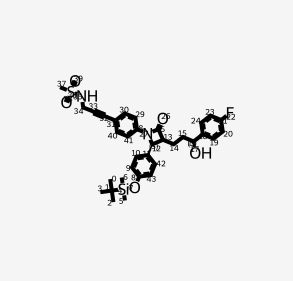 CC(C)(C)[Si](C)(C)Oc1ccc([C@@H]2C(CC[C@H](O)c3ccc(F)cc3)C(=O)N2c2ccc(C#CCNS(C)(=O)=O)cc2)cc1